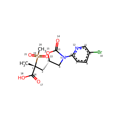 C[C@@](C[C@H]1CN(c2ccc(Br)cn2)C(=O)O1)(C(=O)O)S(C)(=O)=O